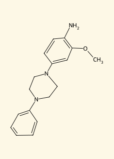 COc1cc(N2CCN(c3ccccc3)CC2)ccc1N